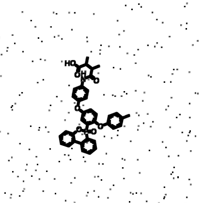 Cc1ccc(Oc2ccc(Oc3ccc(NC(=O)C(C)C(C)C(=O)O)cc3)cc2P2(=O)Oc3ccccc3-c3ccccc32)cc1